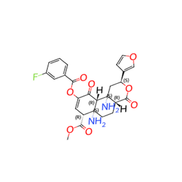 COC(=O)[C@@H]1C=C(OC(=O)c2cccc(F)c2)C(=O)[C@H]2[C@@]1(N)CC[C@H]1C(=O)O[C@H](c3ccoc3)C[C@]21N